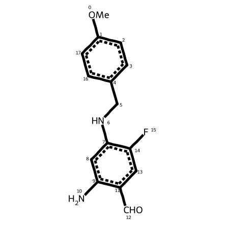 COc1ccc(CNc2cc(N)c(C=O)cc2F)cc1